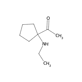 CCNC1(C(C)=O)CCCC1